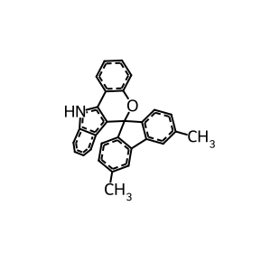 Cc1ccc2c(c1)-c1cc(C)ccc1C21Oc2ccccc2-c2[nH]c3ccccc3c21